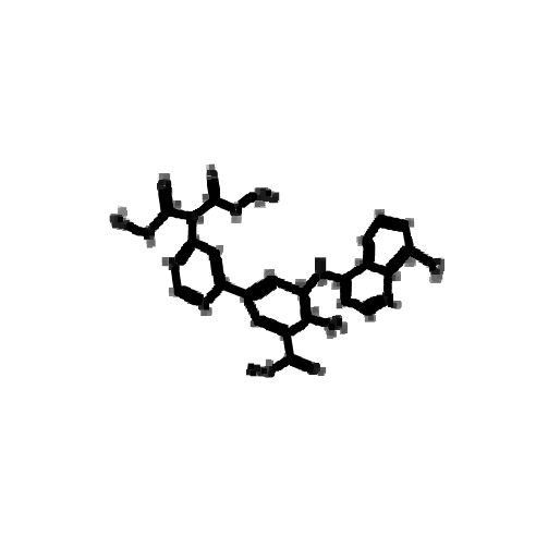 COC(=O)c1cc(-c2cc(N(C(=O)OC(C)(C)C)C(=O)OC(C)(C)C)ncn2)cc(Nc2ccnc3c(Cl)cccc23)c1[N+](=O)[O-]